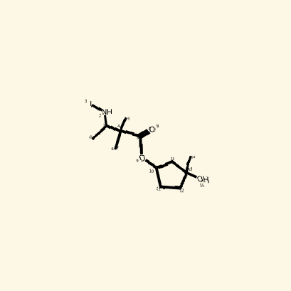 CC(NI)C(C)(C)C(=O)OC1CCC(C)(O)C1